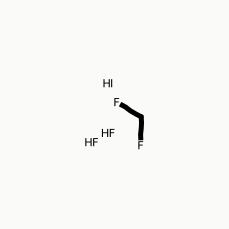 F.F.FCF.I